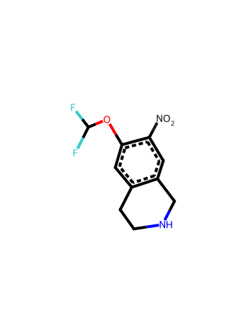 O=[N+]([O-])c1cc2c(cc1OC(F)F)CCNC2